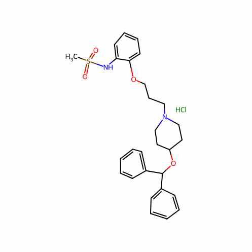 CS(=O)(=O)Nc1ccccc1OCCCN1CCC(OC(c2ccccc2)c2ccccc2)CC1.Cl